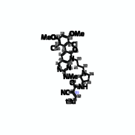 CNc1ncc2cc(-c3c(Cl)c(OC)cc(OC)c3Cl)c(=O)n(CCCN3CCC(NC(=O)/C(C#N)=C/C(C)(C)C)C3)c2n1